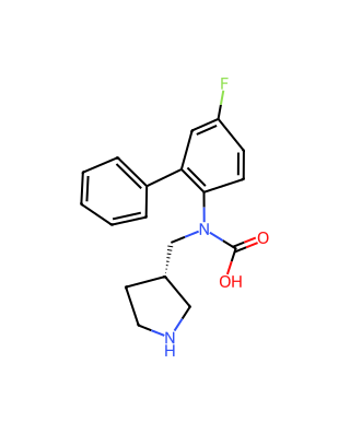 O=C(O)N(C[C@H]1CCNC1)c1ccc(F)cc1-c1ccccc1